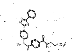 CC(C)[C@@H](Nc1ccc(C(=O)NCCC(=O)O)cc1)c1ccc(-c2noc(-c3ccccc3)n2)cc1